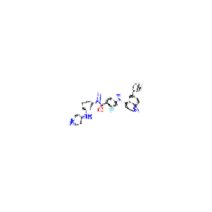 N#Cc1ccc2nccc(Nc3ccc(C(=O)Nc4cccc(Nc5ccncc5)c4)c(F)c3)c2c1